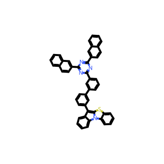 c1cc(-c2cccc(-c3c4ccccc4n4c3sc3ccccc34)c2)cc(-c2nc(-c3ccc4ccccc4c3)nc(-c3ccc4ccccc4c3)n2)c1